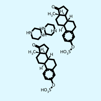 C1CNCCN1.C1CNCCN1.C[C@]12CC[C@@H]3c4ccc(OS(=O)(=O)O)cc4CC[C@H]3[C@@H]1CCC2=O.C[C@]12CC[C@@H]3c4ccc(OS(=O)(=O)O)cc4CC[C@H]3[C@@H]1CCC2=O